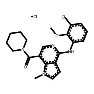 COc1c(Cl)cccc1Nc1ncc(C(=O)N2CCCCC2)c2c1ccn2C.Cl